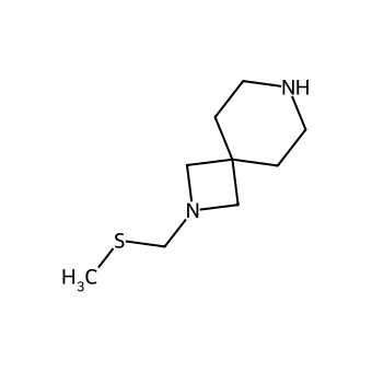 CSCN1CC2(CCNCC2)C1